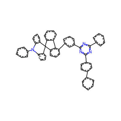 c1ccc(-c2ccc(-c3nc(-c4ccccc4)nc(-c4cccc(-c5cccc6c5-c5ccccc5C65c6ccccc6N(c6ccccc6)c6ccccc65)c4)n3)cc2)cc1